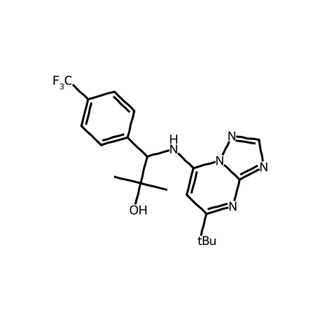 CC(C)(C)c1cc(NC(c2ccc(C(F)(F)F)cc2)C(C)(C)O)n2ncnc2n1